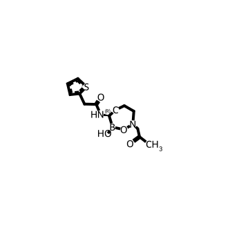 CC(=O)CN1CCC[C@H](NC(=O)Cc2cccs2)B(O)O1